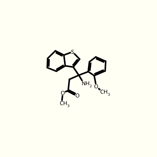 COC(=O)CC(N)(c1ccccc1OC)c1csc2ccccc12